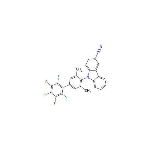 Cc1cc(-c2c(F)c(F)c(F)c(F)c2F)cc(C)c1-n1c2ccccc2c2cc(C#N)ccc21